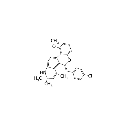 COc1cccc2c1-c1ccc3c(c1C(=Cc1ccc(Cl)cc1)O2)C(C)=CC(C)(C)N3